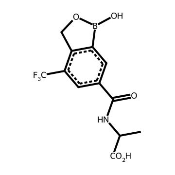 CC(NC(=O)c1cc2c(c(C(F)(F)F)c1)COB2O)C(=O)O